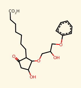 O=C(O)CCCCCCC1C(=O)CC(O)C1OCC(O)COc1ccccc1